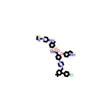 Cc1cc(S(=O)(=O)NC(=O)c2ccc(N3CCN(CC4=C(c5ccc(Cl)cc5)CC(C)(C)CC4)CC3)cc2Oc2ccc3[nH]ccc3c2)ccc1NC1CCN(c2nccs2)CC1